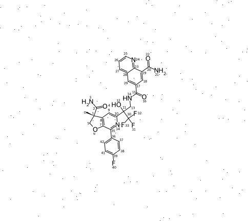 C[C@]1(C(N)=O)COc2c1cc(C(O)(CNC(=O)c1cc(C(N)=O)c3ncccc3c1)C(F)(F)F)nc2-c1ccc(F)cc1